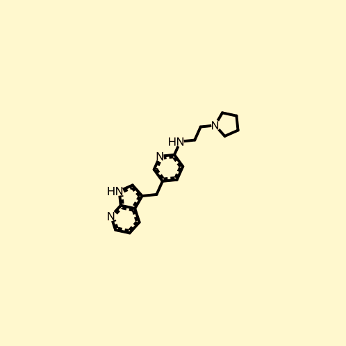 c1cnc2[nH]cc(Cc3ccc(NCCN4CCCC4)nc3)c2c1